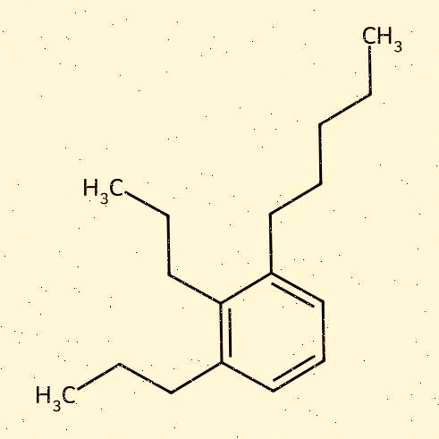 CCCCCc1cccc(CCC)c1CCC